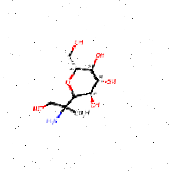 NC(CO)(C(=O)O)C1O[C@H](CO)[C@@H](O)[C@H](O)[C@H]1O